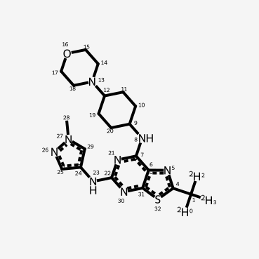 [2H]C([2H])([2H])c1nc2c(NC3CCC(N4CCOCC4)CC3)nc(Nc3cnn(C)c3)nc2s1